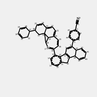 N#Cc1ccc(C2=CC3=C(Cc4cccc(C5=NC6C7C(=CC=C8C=CC(C9C=CC=CC9)CC867)C=C5)c43)C3C=CC=CC23)cc1